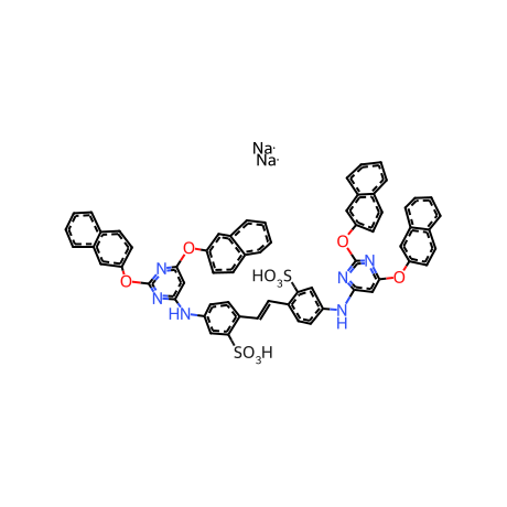 O=S(=O)(O)c1cc(Nc2cc(Oc3ccc4ccccc4c3)nc(Oc3ccc4ccccc4c3)n2)ccc1C=Cc1ccc(Nc2cc(Oc3ccc4ccccc4c3)nc(Oc3ccc4ccccc4c3)n2)cc1S(=O)(=O)O.[Na].[Na]